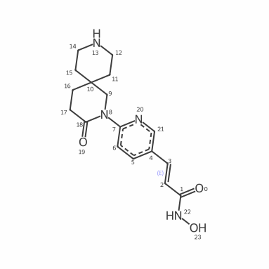 O=C(/C=C/c1ccc(N2CC3(CCNCC3)CCC2=O)nc1)NO